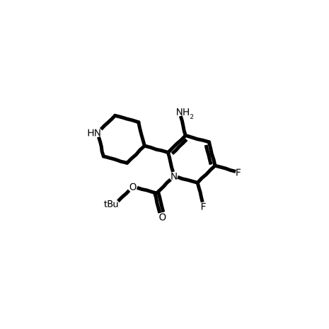 CC(C)(C)OC(=O)N1C(C2CCNCC2)=C(N)C=C(F)C1F